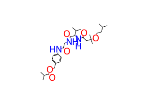 CC(C)CCOC(C)(C)CC(=O)NC(C(=O)NCC(=O)Nc1ccc(COC(=O)C(C)C)cc1)C(C)C